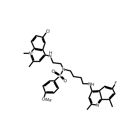 COc1ccc(S(=O)(=O)N(CCCCNc2cc(C)nc3c(C)cc(F)cc23)CCNc2cc(C)[n+](C)c3ccc(Cl)cc23)cc1